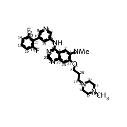 CNc1cc2c(Nc3cncc(-c4c(F)cccc4F)c3)ncnc2cc1OCCCN1CCN(C)CC1